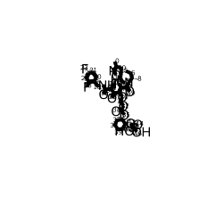 CC1=NO[C@@]2(CC[C@H](C)N3C[C@H]2n2cc(C(=O)NCc4ccc(F)cc4F)c(=O)c(OCOC(=O)O[C@H]4CCCC[C@@H]4OP(=O)(O)O)c2C3=O)C1